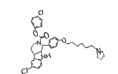 O=C(Oc1ccc(Cl)cc1)N1CCC2c3cc(Cl)ccc3NC2C1c1ccc(OCCCCCCN2CCCC2)cc1